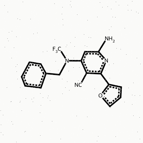 N#Cc1c(N(Cc2ccccc2)C(F)(F)F)cc(N)nc1-c1ccco1